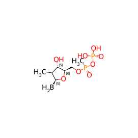 B[C@@H]1O[C@H](COP(C)(=O)OP(=O)(O)O)[C@@H](O)C1C